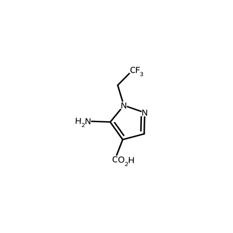 Nc1c(C(=O)O)cnn1CC(F)(F)F